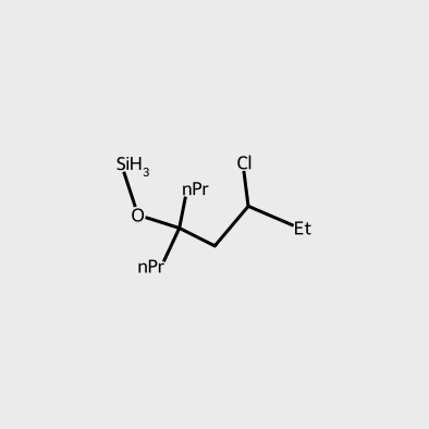 CCCC(CCC)(CC(Cl)CC)O[SiH3]